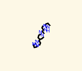 CN1C2=NCCCN2CCC1C1CCC2=NC(C3CCN4CCCNC4=N3)CN2CC1